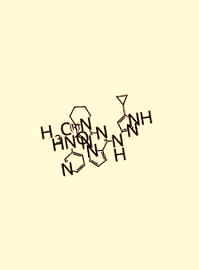 C[C@]1(C(=O)Nc2cccnc2)CCCCN1c1nc(Nc2cc(C3CC3)[nH]n2)c2cccn2n1